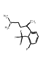 CC(CCN(C)C)c1cccc(F)c1C(F)(F)F